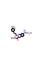 CNC(=O)C1Cc2ccc(NS(=O)(=O)O)cc2CN1C(=O)CCc1ccc(C)cc1